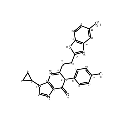 O=c1c2ncn(C3CC3)c2nc(SCc2nc3cc(C(F)(F)F)ccc3s2)n1-c1ccc(Cl)cc1